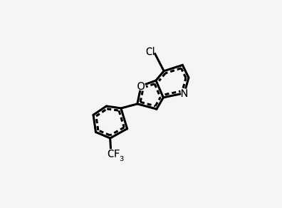 FC(F)(F)c1cccc(-c2cc3nccc(Cl)c3o2)c1